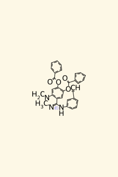 C#Cc1cccc(N/C(=N/C)c2cc(OC(=O)c3ccccc3)c(OC(=O)c3ccccc3)cc2N=C)c1